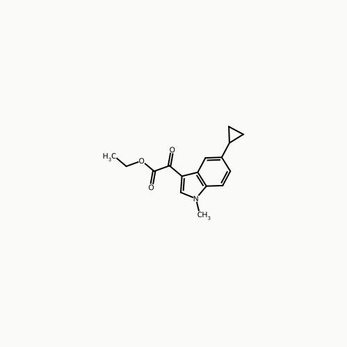 CCOC(=O)C(=O)c1cn(C)c2ccc(C3CC3)cc12